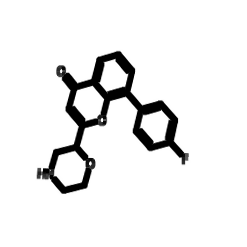 O=c1cc(C2CNCCO2)oc2c(-c3ccc(F)cc3)cccc12